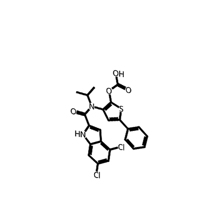 CC(C)N(C(=O)c1cc2c(Cl)cc(Cl)cc2[nH]1)c1cc(-c2ccccc2)sc1OC(=O)O